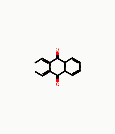 C/C=C1/C(=O)C2C=CC=CC2C(=O)/C1=C/C